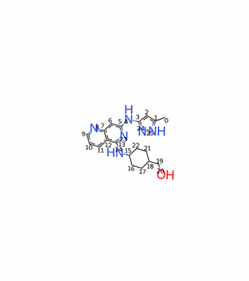 Cc1cc(Nc2cc3ncccc3c(NC3CCC(CO)CC3)n2)n[nH]1